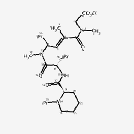 CCOC(=O)CN(C)C(=O)/C(C)=C/C(C(C)C)N(C)C(=O)[C@@H](NC(=O)[C@H]1CCCCN1C(C)C)C(C)C